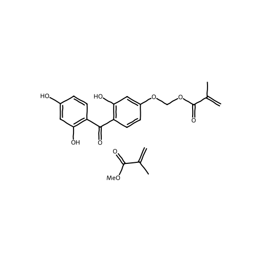 C=C(C)C(=O)OC.C=C(C)C(=O)OCOc1ccc(C(=O)c2ccc(O)cc2O)c(O)c1